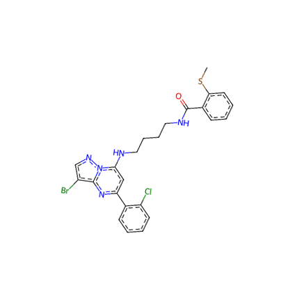 CSc1ccccc1C(=O)NCCCCNc1cc(-c2ccccc2Cl)nc2c(Br)cnn12